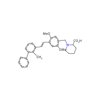 COc1cc(CN2CCCCC2C(=O)O)c(OC)cc1/C=C/c1cccc(-c2ccccc2)c1C